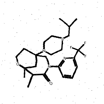 CC(C)CN1CCN(C23CCOC(C)(C2)C(C)C(=O)N(c2cccc(C(F)(F)F)n2)C3)CC1